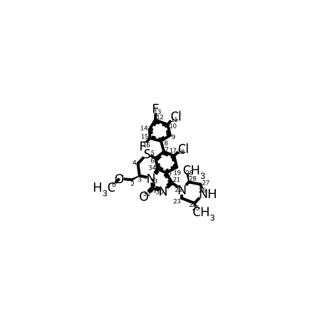 COC[C@H]1CSc2c(-c3cc(Cl)c(F)cc3F)c(Cl)cc3c(N4C[C@@H](C)NC[C@@H]4C)nc(=O)n1c23